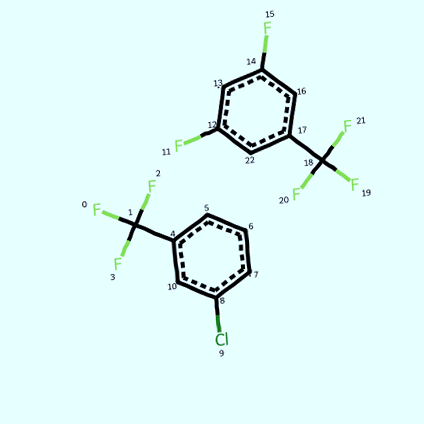 FC(F)(F)c1cc[c]c(Cl)c1.Fc1[c]c(F)cc(C(F)(F)F)c1